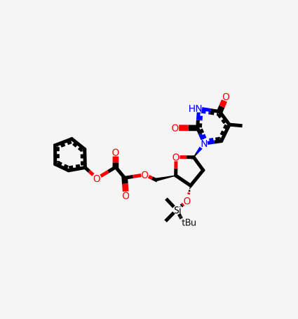 Cc1cn([C@H]2C[C@H](O[Si](C)(C)C(C)(C)C)[C@@H](COC(=O)C(=O)Oc3ccccc3)O2)c(=O)[nH]c1=O